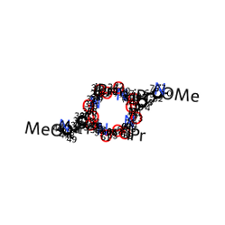 COc1cc(C)c(Cc2ccc(C[C@H]3OC(=O)[C@H](CC(C)C)N(C)C(=O)[C@@H](C)OC(=O)[C@H](CC(C)C)N(C)C(=O)[C@@H](Cc4ccc(Cc5cnc(OC)cc5C)cc4)OC(=O)[C@H](CC(C)C)N(C)C(=O)[C@@H](C)OC(=O)[C@H](CC(C)C)N(C)C3=O)cc2)cn1